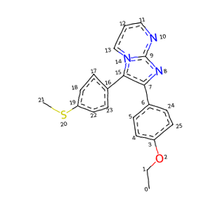 CCOc1ccc(-c2nc3ncccn3c2-c2ccc(SC)cc2)cc1